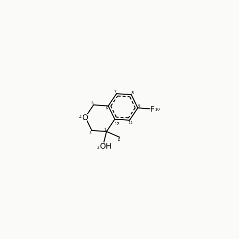 CC1(O)COCc2ccc(F)cc21